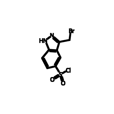 O=S(=O)(Cl)c1ccc2[nH]nc(CBr)c2c1